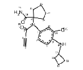 C#CC(=O)N(c1ccc(NC2CCC2)c(Cl)c1)C1(C(N)=O)CCCC1